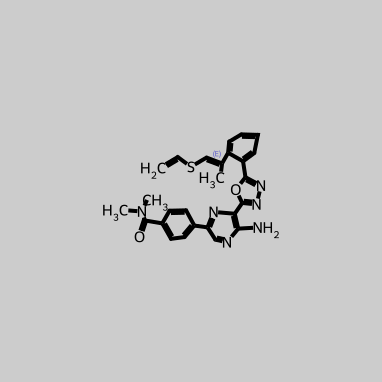 C=CS/C=C(\C)c1ccccc1-c1nnc(-c2nc(-c3ccc(C(=O)N(C)C)cc3)cnc2N)o1